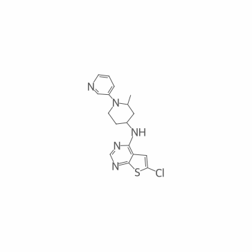 CC1CC(Nc2ncnc3sc(Cl)cc23)CCN1c1cccnc1